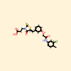 Cc1ccc(NC(=O)COc2cccc(/C=C3\SC(=S)N(CCC(=O)O)C3=O)c2)cc1Cl